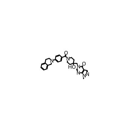 Cn1ncc2c(=O)n(CC3(O)CCN(C(=O)c4ccc(N5CCc6ccccc6C5)cc4)CC3)cnc21